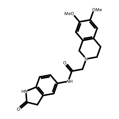 COc1cc2c(cc1OC)CN(CC(=O)Nc1ccc3c(c1)CC(=O)N3)CC2